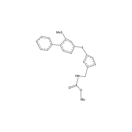 CSc1cc(Sc2ccc(CNC(=O)OC(C)(C)C)s2)ccc1-c1ccccc1